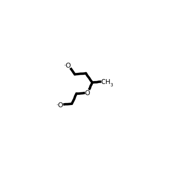 CC(CC[O])OCC[O]